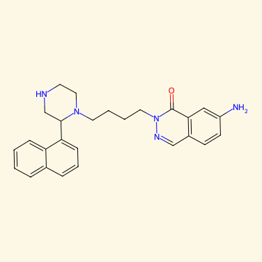 Nc1ccc2cnn(CCCCN3CCNCC3c3cccc4ccccc34)c(=O)c2c1